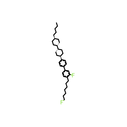 CCCCC[C@H]1CC[C@H]([C@H]2CC[C@H](c3ccc(-c4ccc(CCCCCCCF)c(F)c4)cc3)CC2)CC1